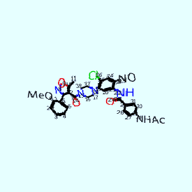 COc1ccccc1-c1noc(C)c1C(=O)N1CCN(c2cc(NC(=O)c3ccc(NC(C)=O)cc3)c(N=O)cc2Cl)CC1